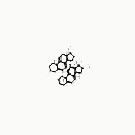 C[C@]12CCC(=O)CC1=CC[C@@H]1[C@@H]2CC[C@]2(C)C(=O)CC[C@@H]12.C[C@]12CCCCC1=CC[C@@H]1[C@@H]2CC[C@]2(C)C(=O)C(=O)C[C@@H]12